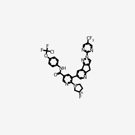 O=C(Nc1ccc(OC(F)(F)Cl)cc1)c1cnc(N2CC[C@@H](F)C2)c(-c2cnc3c(c2)-c2nn(-c4ncc(C(F)(F)F)cn4)cc2C3)c1